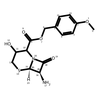 COc1ccc(COC(=O)C2C(O)CS[C@@H]3[C@H](N)C(=O)N23)cc1